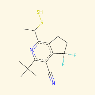 CC(SS)c1nc(C(C)(C)C)c(C#N)c2c1CCC2(F)F